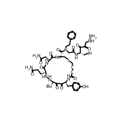 CC[C@H](C)C1NN[C@@H](CCC(N)=O)C(=O)N[C@@H](CC(N)=O)C(=O)N[C@H](C(=O)N(CCc2ccccc2)CC(=O)N[C@@H](CC(C)C)C(=O)C(=O)CNN)CSCCCC(=O)N[C@@H](Cc2ccc(O)cc2)C(=O)C1=O